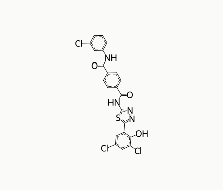 O=C(Nc1cccc(Cl)c1)c1ccc(C(=O)Nc2nnc(-c3cc(Cl)cc(Cl)c3O)s2)cc1